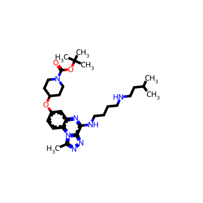 Cc1nnc2c(NCCCCNCCC(C)C)nc3cc(OC4CCN(C(=O)OC(C)(C)C)CC4)ccc3n12